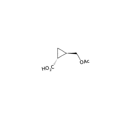 CC(=O)OC[C@@H]1C[C@H]1C(=O)O